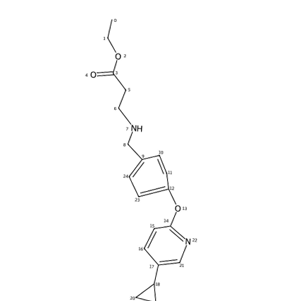 CCOC(=O)CCNCc1ccc(Oc2ccc(C3CC3)cn2)cc1